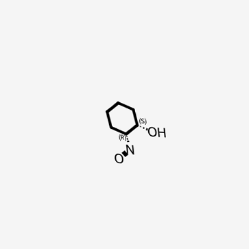 O=N[C@@H]1CCCC[C@@H]1O